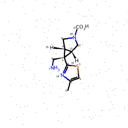 Cc1csc([C@]2(CN)[C@@H]3CN(C(=O)O)C[C@@H]32)n1